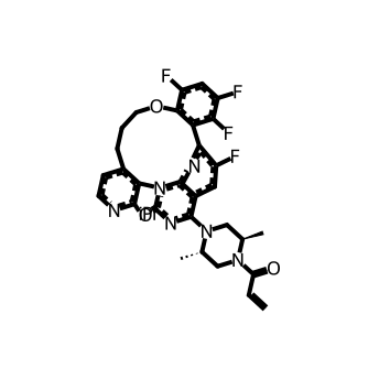 C=CC(=O)N1C[C@H](C)N(c2nc(=O)n3c4nc(c(F)cc24)-c2c(F)c(F)cc(F)c2OCCCc2ccnc(C(C)C)c2-3)C[C@H]1C